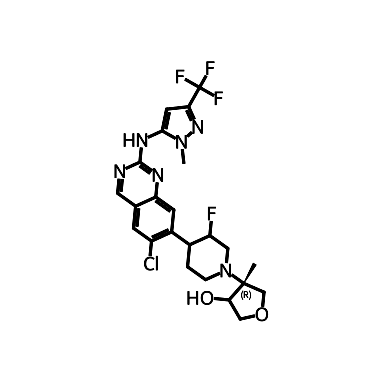 Cn1nc(C(F)(F)F)cc1Nc1ncc2cc(Cl)c(C3CCN([C@]4(C)COCC4O)CC3F)cc2n1